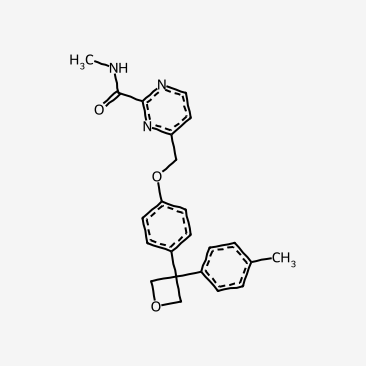 CNC(=O)c1nccc(COc2ccc(C3(c4ccc(C)cc4)COC3)cc2)n1